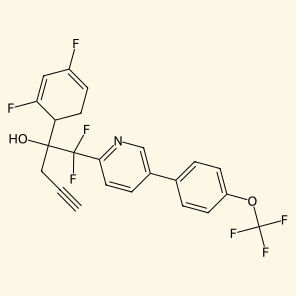 C#CCC(O)(C1CC=C(F)C=C1F)C(F)(F)c1ccc(-c2ccc(OC(F)(F)F)cc2)cn1